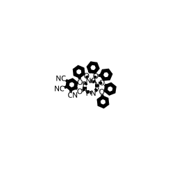 N#Cc1ccc(On2pnp(Oc3ccccc3)n(Oc3ccccc3)p(Oc3ccccc3)n(Oc3ccccc3)p2Oc2ccccc2)c(C#N)c1C#N